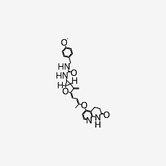 C=C1/C(=C\C=C(/C)Oc2ccnc3c2CCC(=O)N3)O[C@@H]2[C@@H](NC(=O)NCc3ccc(OC)cc3)[C@H]12